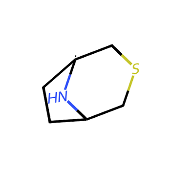 C1CC2CSC[C]1N2